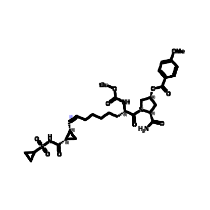 COc1ccc(C(=O)O[C@@H]2C[C@@H](C(N)=O)N(C(=O)[C@H](CCCCC/C=C\[C@@H]3C[C@@H]3C(=O)NS(=O)(=O)C3CC3)NC(=O)OC(C)(C)C)C2)cc1